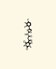 Cc1c(F)ccc(-c2csc(NC(=O)Cc3nsc4c3c(=O)n(C)c(=O)n4C)n2)c1F